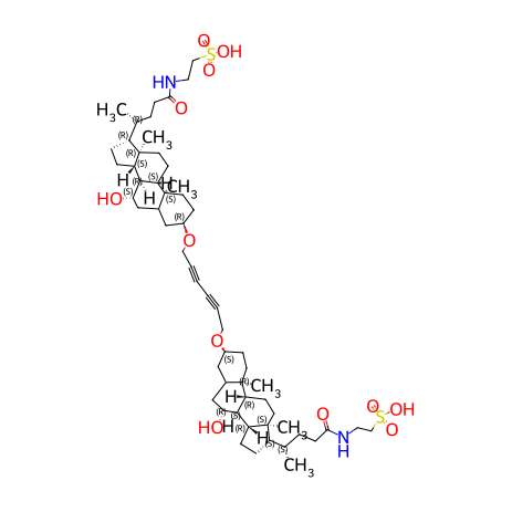 C[C@H](CCC(=O)NCCS(=O)(=O)O)[C@H]1CC[C@H]2[C@@H]3[C@@H](O)CC4C[C@H](OCC#CC#CCO[C@H]5CC[C@]6(C)C(C5)C[C@@H](O)[C@@H]5[C@H]7CC[C@@H]([C@@H](C)CCC(=O)NCCS(=O)(=O)O)[C@]7(C)CC[C@H]56)CC[C@]4(C)[C@H]3CC[C@]12C